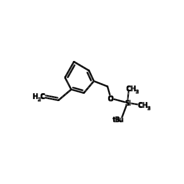 C=Cc1cccc(CO[Si](C)(C)C(C)(C)C)c1